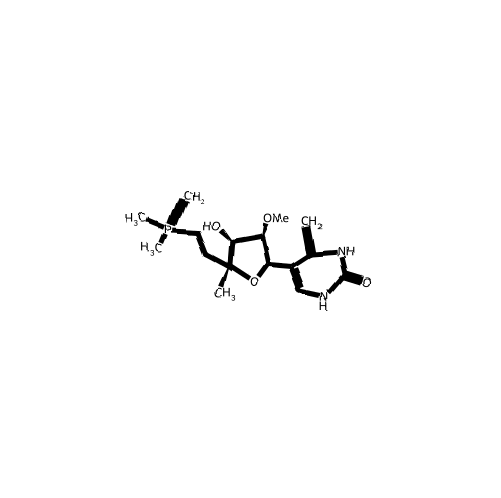 C=C1NC(=O)NC=C1C1O[C@](C)(CCP(=C)(C)C)[C@@H](O)[C@H]1OC